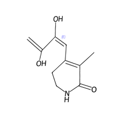 C=C(O)/C(O)=C\C1=C(C)C(=O)NCC1